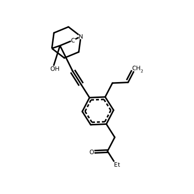 C=CCc1cc(CC(=O)CC)ccc1C#CC1(O)CN2CCC1CC2